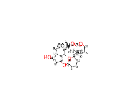 CCCCC[C@@](C)(C=CC1C(OC2CCCCO2)CC(O)C1CC(=O)O)OC1CCCCO1